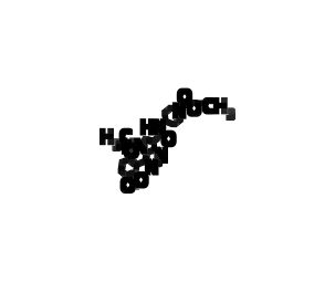 CCOC(=O)N1CCC(NC(=O)c2c[nH]c3c(-c4c(OCC)ccc5c4OCO5)ncnc23)CC1